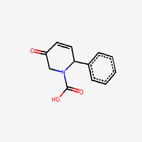 O=C1C=CC(c2ccccc2)N(C(=O)O)C1